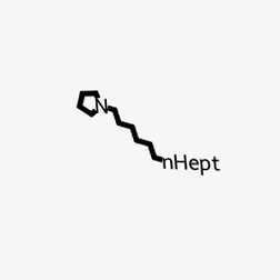 CCCCCCCCCCCCCN1CCCC1